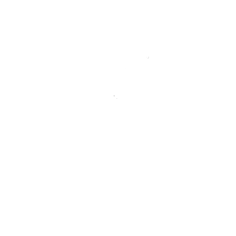 CC#CC1CCCN(C(=O)OC(C)(C)C)C1